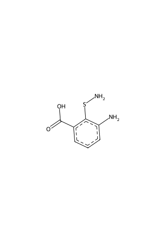 NSc1c(N)cccc1C(=O)O